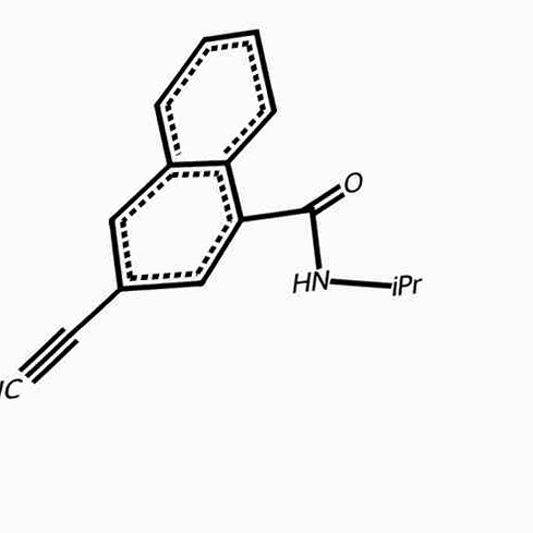 C#Cc1cc(C(=O)NC(C)C)c2ccccc2c1